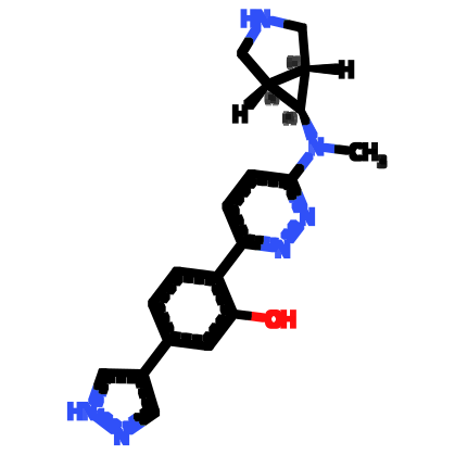 CN(c1ccc(-c2ccc(-c3cn[nH]c3)cc2O)nn1)[C@H]1[C@@H]2CNC[C@@H]21